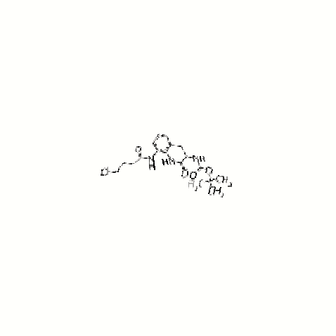 CC(C)(C)OC(=O)NC1Cc2cccc(NC(=O)CCCCl)c2NC1=O